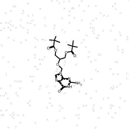 CC(C)(C)C(=O)OCC(COC(=O)C(C)(C)C)OCn1cnc2c(=O)[nH]c(N)nc21